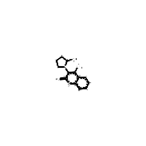 Cc1c(N2CCCC2O)c(=O)oc2ccccc12